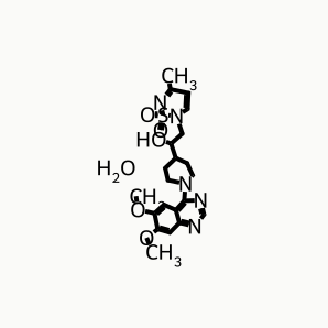 COc1cc2ncnc(N3CCC(C(O)CN4C=CC(C)=NS4(=O)=O)CC3)c2cc1OC.O